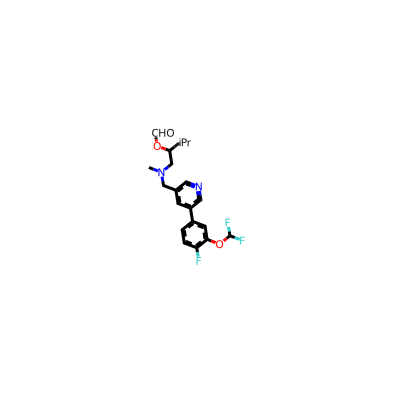 CC(C)C(CN(C)Cc1cncc(-c2ccc(F)c(OC(F)F)c2)c1)OC=O